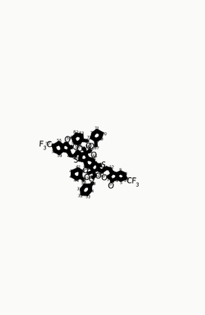 O=C1C(=O)c2cc(C(F)(F)F)ccc2/C1=C/c1cc2c(s1)-c1cc3c(cc1C2(C(=O)OCc1ccccc1)C(=O)OCc1ccccc1)-c1sc(/C=C2\C(=O)C(=O)c4cc(C(F)(F)F)ccc42)cc1C3(C(=O)OCc1ccccc1)C(=O)OCc1ccccc1